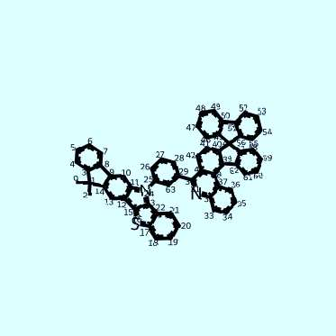 CC1(C)c2ccccc2-c2cc3c(cc21)c1sc2ccccc2c1n3-c1cccc(-c2nc3ccccc3c3c4c(ccc23)C2(c3ccccc3-c3ccccc32)c2ccccc2-4)c1